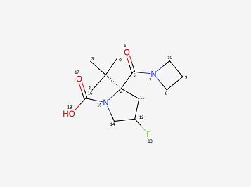 CC(C)(C)[C@]1(C(=O)N2CCC2)CC(F)CN1C(=O)O